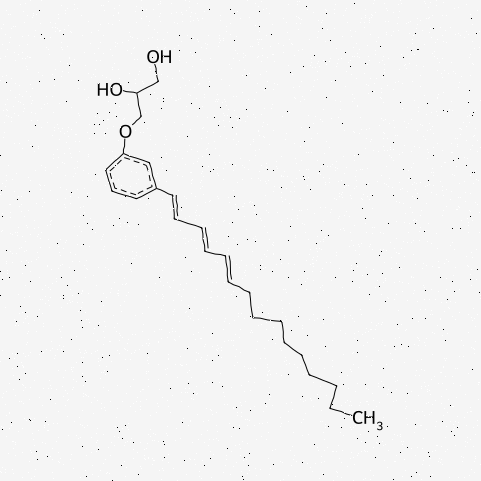 CCCCCCCCCC=CC=CC=Cc1cccc(OCC(O)CO)c1